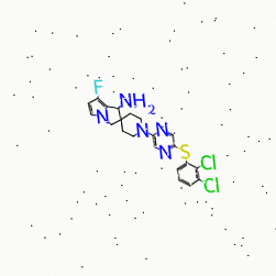 N[C@@H]1c2c(F)ccn2CC12CCN(c1cnc(Sc3cccc(Cl)c3Cl)cn1)CC2